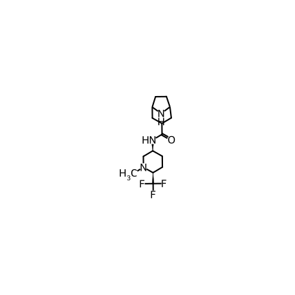 CN1C[C@@H](NC(=O)C2CC3CCC(C2)N3)CC[C@H]1C(F)(F)F